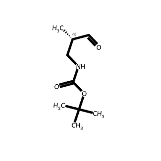 C[C@H](C=O)CNC(=O)OC(C)(C)C